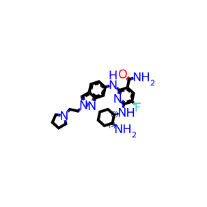 NC(=O)c1cc(F)c(N[C@@H]2CCCC[C@@H]2N)nc1Nc1ccc2cn(CCN3CCCC3)nc2c1